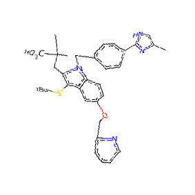 Cc1c[nH]c(-c2ccc(Cn3c(CC(C)(C)C(=O)O)c(SC(C)(C)C)c4cc(OCc5ccccn5)ccc43)cc2)n1